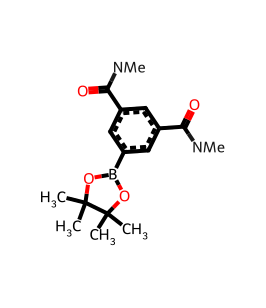 CNC(=O)c1cc(B2OC(C)(C)C(C)(C)O2)cc(C(=O)NC)c1